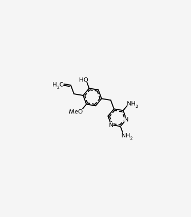 C=CCc1c(O)cc(Cc2cnc(N)nc2N)cc1OC